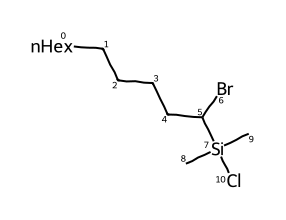 CCCCCCCCCCC(Br)[Si](C)(C)Cl